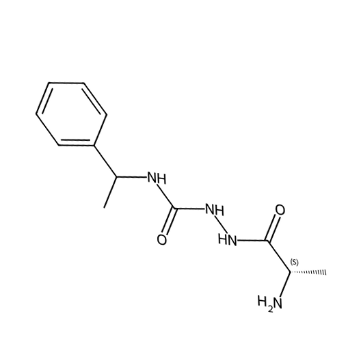 CC(NC(=O)NNC(=O)[C@H](C)N)c1ccccc1